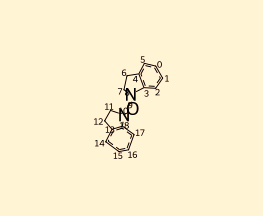 c1ccc2c(c1)CCN2ON1CCc2ccccc21